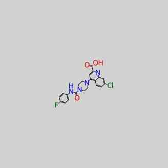 O=C(O)c1cc(N2CCN(C(=O)Nc3ccc(F)cc3)CC2)c2ccc(Cl)cc2n1